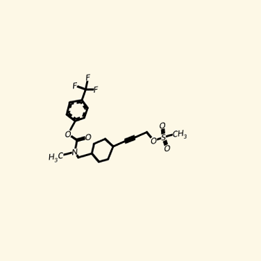 CN(CC1CCC(C#CCOS(C)(=O)=O)CC1)C(=O)Oc1ccc(C(F)(F)F)cc1